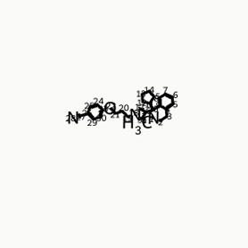 CN1CCc2ccccc2C1(C1CCCC1)C1CN(CCCOc2ccc(C#N)cc2)C1